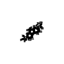 CC1(C)c2c[c]([Sn]([CH3])([CH3])[CH3])ccc2-c2cc[c]([Sn]([CH3])([CH3])[CH3])cc21